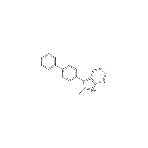 Cc1[nH]c2ncccc2c1-c1ccc(-c2ccccc2)cc1